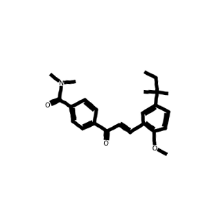 CCC(C)(C)c1ccc(OC)c(C=CC(=O)c2ccc(C(=O)N(C)C)cc2)c1